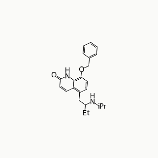 CCC(Cc1ccc(OCc2ccccc2)c2[nH]c(=O)ccc12)NC(C)C